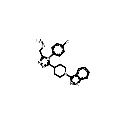 COCc1nnc(C2CCN(c3nsc4ccccc34)CC2)n1-c1ccc(Cl)cc1